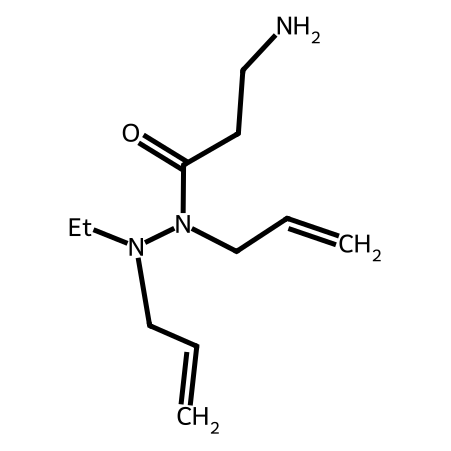 C=CCN(CC)N(CC=C)C(=O)CCN